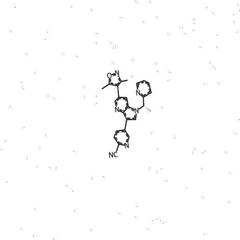 Cc1noc(C)c1-c1cnc2c(-c3ccc(C#N)nc3)cn([C@@H](C)c3ccccn3)c2c1